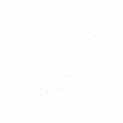 C=C(Oc1ccc(CCC2CO2)cc1)c1nnc(C(=O)Cc2ccc(OCCCCOc3ccc(OC(=O)c4nnc(C(=O)Oc5ccc(OCC6CO6)cc5)s4)cc3)cc2)s1